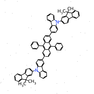 CC1(C)c2ccccc2-c2ccc(-n3c4ccccc4c4cc(-c5ccc6c(-c7ccccc7)c7cc(-c8ccc9c(c8)c8ccccc8n9-c8ccc9c(c8)C(C)(C)c8ccccc8-9)ccc7c(-c7ccccc7)c6c5)ccc43)cc21